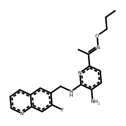 CCCO/N=C(\C)c1ccc(N)c(NCc2cc3cccnc3cc2F)n1